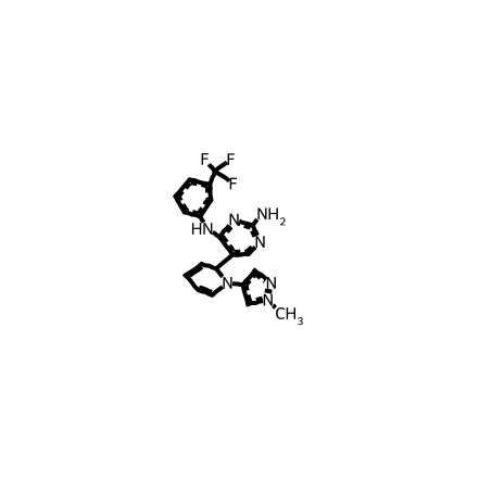 Cn1cc(N2C=CC=CC2c2cnc(N)nc2Nc2cccc(C(F)(F)F)c2)cn1